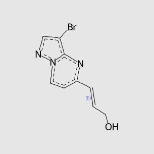 OC/C=C/c1ccn2ncc(Br)c2n1